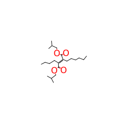 CCCCCCC(C(=O)OCC(C)C)=C(CCCC)C(=O)OCC(C)C